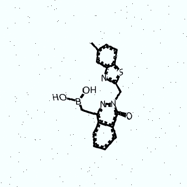 Cc1ccc2sc(Cn3nc(CB(O)O)c4ccccc4c3=O)nc2c1